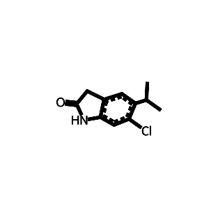 CC(C)c1cc2c(cc1Cl)NC(=O)C2